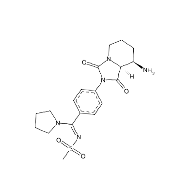 CS(=O)(=O)N=C(c1ccc(N2C(=O)[C@@H]3[C@H](N)CCCN3C2=O)cc1)N1CCCC1